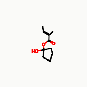 CC=C(C)C(=O)OC1(O)CCCC1